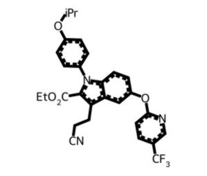 CCOC(=O)c1c(CCC#N)c2cc(Oc3ccc(C(F)(F)F)cn3)ccc2n1-c1ccc(OC(C)C)cc1